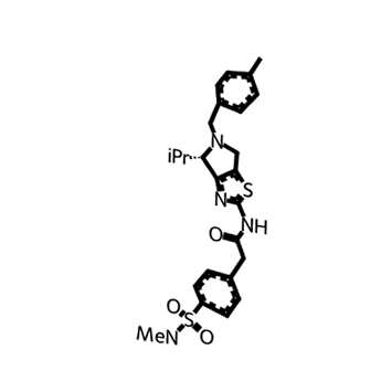 CNS(=O)(=O)c1ccc(CC(=O)Nc2nc3c(s2)CN(Cc2ccc(C)cc2)[C@H]3C(C)C)cc1